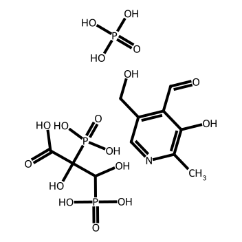 Cc1ncc(CO)c(C=O)c1O.O=C(O)C(O)(C(O)P(=O)(O)O)P(=O)(O)O.O=P(O)(O)O